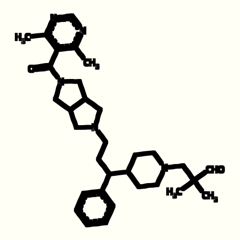 Cc1ncnc(C)c1C(=O)N1CC2CN(CCC(c3ccccc3)C3CCN(CC(C)(C)C=O)CC3)CC2C1